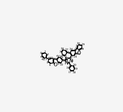 c1ccc(-c2ccc3oc4cc(-c5nc(-c6ccccc6)nc(-c6cc7oc8ccccc8c7cc6-c6ccccc6)n5)ccc4c3c2)cc1